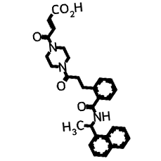 CC(NC(=O)c1ccccc1CCC(=O)N1CCN(C(=O)/C=C/C(=O)O)CC1)c1cccc2ccccc12